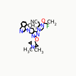 C=C(F)C(=O)N1CCN(c2nc(OCC3C[C@@]3(C)N(C)C3CC3)nc3c2CCN(c2cncc4cccc(C)c24)C3)C=C1CC#N